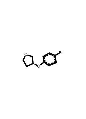 Brc1ccc(O[C@H]2CCOC2)cc1